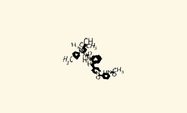 CC(=O)Nc1cccc(C(=O)N2CCC(Cc3ccccc3NC(=O)Nc3cc(C(C)(C)C)nn3-c3ccc(C)cc3)CC2)c1